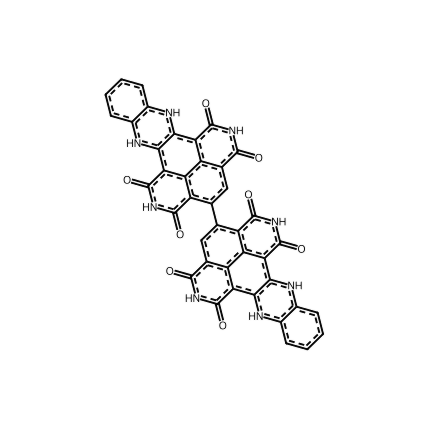 O=c1[nH]c(=O)c2c3[nH]c4ccccc4[nH]c3c3c(=O)[nH]c(=O)c4c(-c5cc6c(=O)[nH]c(=O)c7c8[nH]c9ccccc9[nH]c8c8c(=O)[nH]c(=O)c5c8c67)cc1c2c43